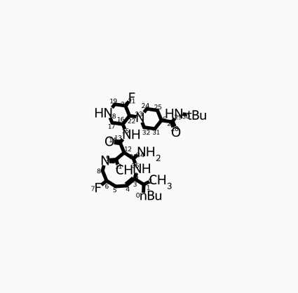 CCCCC(C)/C1=C/CC(F)C/N=C(\C)C(C(=O)NC2CNCC(F)C2N2CCC(C(=O)NC(C)(C)C)CC2)C(N)N1